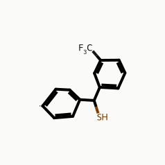 FC(F)(F)c1cccc(C(S)c2cc[c]cc2)c1